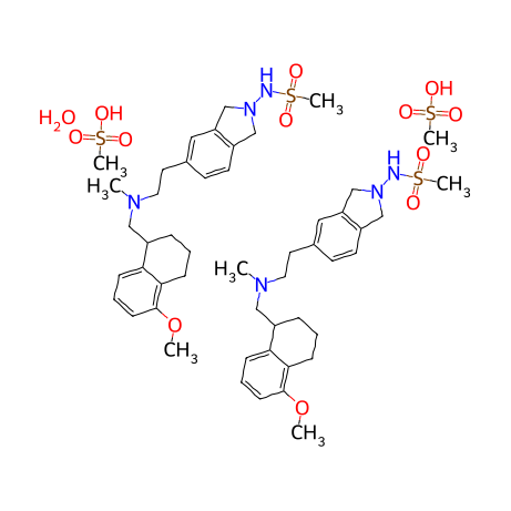 COc1cccc2c1CCCC2CN(C)CCc1ccc2c(c1)CN(NS(C)(=O)=O)C2.COc1cccc2c1CCCC2CN(C)CCc1ccc2c(c1)CN(NS(C)(=O)=O)C2.CS(=O)(=O)O.CS(=O)(=O)O.O